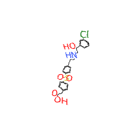 O=C(O)Cc1ccc(S(=O)(=O)c2ccc(CCNCC(O)c3cccc(Cl)c3)cc2)cc1